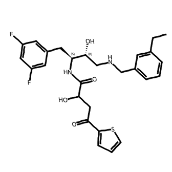 CCc1cccc(CNC[C@@H](O)[C@H](Cc2cc(F)cc(F)c2)NC(=O)C(O)CC(=O)c2cccs2)c1